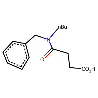 CCCCN(Cc1ccccc1)C(=O)CCC(=O)O